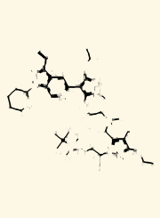 C=Cc1nn(C2CCCCO2)c2cnc(-c3c(OCC)nn(C)c3O[C@@H](C)CN(C)Cc3c(I)c(OCC)nn3[C@@H](C)CO[Si](C)(C)C(C)(C)C)cc12